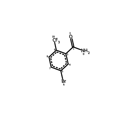 NC(=O)c1cc(Br)ccc1C(F)(F)F